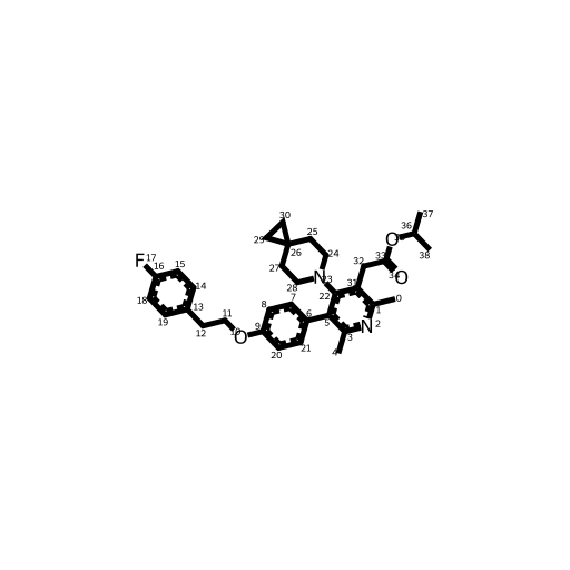 Cc1nc(C)c(-c2ccc(OCCc3ccc(F)cc3)cc2)c(N2CCC3(CC2)CC3)c1CC(=O)OC(C)C